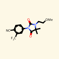 COCCN1C(=O)N(c2ccc(C#N)c(C(F)(F)F)c2)C(=O)C1(C)C